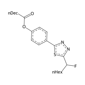 CCCCCCCCCCC(=O)Oc1ccc(-c2nnc(C(F)CCCCCC)s2)cc1